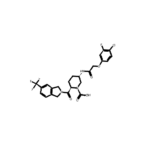 O=C(COc1ccc(Cl)c(F)c1)N[C@H]1CC[C@H](C(=O)N2Cc3ccc(C(F)(F)F)cc3C2)N(C(=O)O)C1